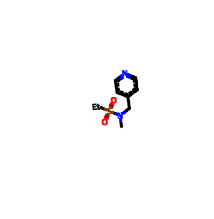 CCS(=O)(=O)N(C)Cc1ccncc1